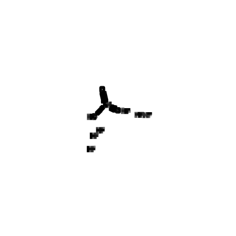 F.F.F.F.F.F.O=[SH](=O)O